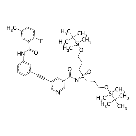 Cc1ccc(F)c(C(=O)Nc2cccc(C#Cc3cncc(C(=O)N=S(=O)(CCCO[Si](C)(C)C(C)(C)C)CCCO[Si](C)(C)C(C)(C)C)c3)c2)c1